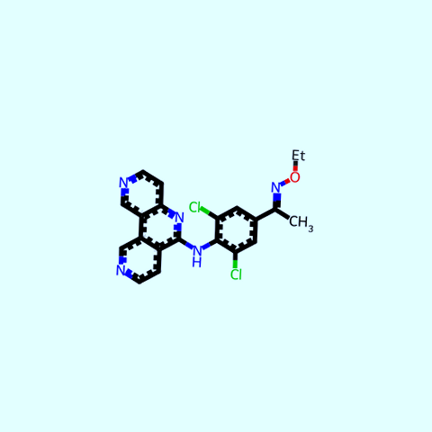 CCON=C(C)c1cc(Cl)c(Nc2nc3ccncc3c3cnccc23)c(Cl)c1